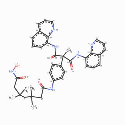 CC(C)(CC(=O)NO)CC(C)(C)CC(=O)Nc1ccc(C(C)(C(=O)Nc2cccc3cccnc23)C(=O)Nc2cccc3cccnc23)cc1